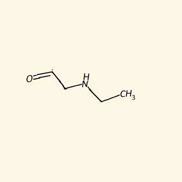 CCNC[C]=O